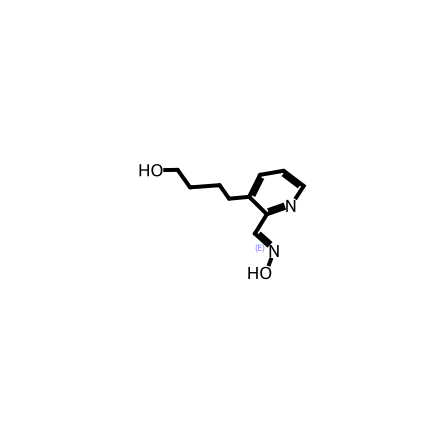 OCCCCc1cccnc1/C=N/O